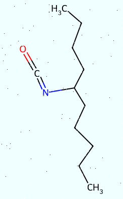 CCCCCC(CCCC)N=C=O